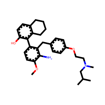 COc1ccc(-c2c(O)ccc3c2CCCC3)c(Cc2ccc(OCCN(C)CC(C)C)cc2)c1N